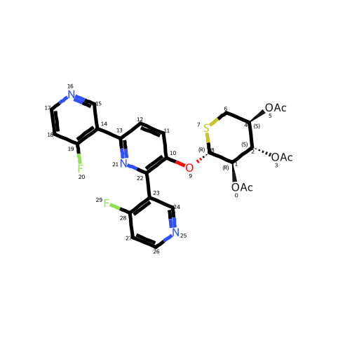 CC(=O)O[C@@H]1[C@@H](OC(C)=O)[C@H](OC(C)=O)CS[C@H]1Oc1ccc(-c2cnccc2F)nc1-c1cnccc1F